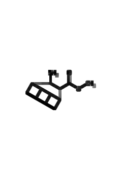 COC(=O)C1C(N)C2C3C4C1C1C2C3C41